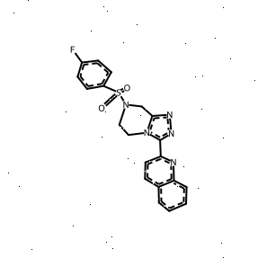 O=S(=O)(c1ccc(F)cc1)N1CCn2c(nnc2-c2ccc3ccccc3n2)C1